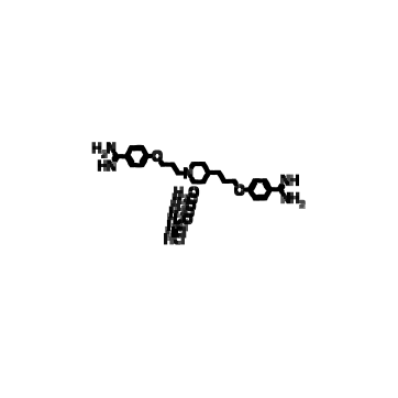 Cl.Cl.Cl.N=C(N)c1ccc(OCCCC2CCN(CCCOc3ccc(C(=N)N)cc3)CC2)cc1.O.O.O.O.O